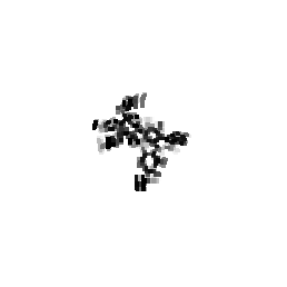 CCc1ccc([C@@H]2C[S+]([O-])c3ccc(C4OC(CO)C(O)C(O)C4O)cc32)cc1